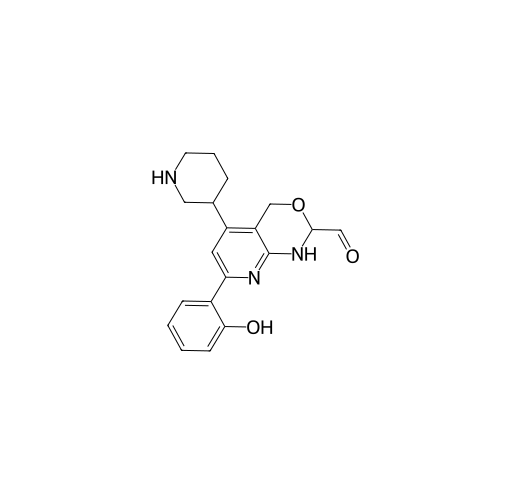 O=CC1Nc2nc(-c3ccccc3O)cc(C3CCCNC3)c2CO1